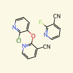 N#Cc1cccnc1F.N#Cc1cccnc1Oc1cccnc1Cl